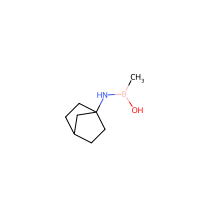 CB(O)NC12CCC(CC1)C2